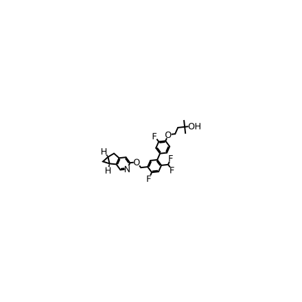 CC(C)(O)CCOc1ccc(-c2cc(COc3cc4c(cn3)[C@@H]3C[C@@H]3C4)c(F)cc2C(F)F)cc1F